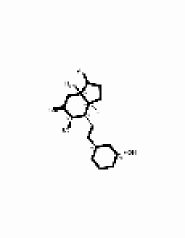 CC[C@H]1C(=O)C[C@]2(C)C(C(C)=O)CC[C@H]2[C@@H]1CC[C@@H]1CCC[C@@H](O)C1